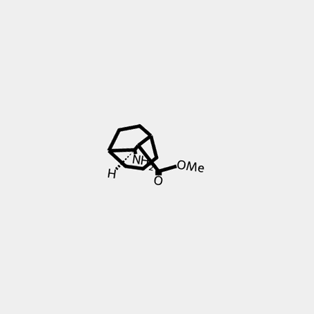 COC(=O)C1C2CCCC(CC2)[C@@H]1N